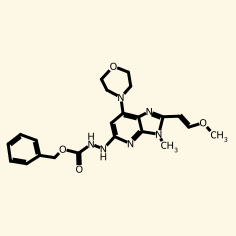 CO/C=C/c1nc2c(N3CCOCC3)cc(NNC(=O)OCc3ccccc3)nc2n1C